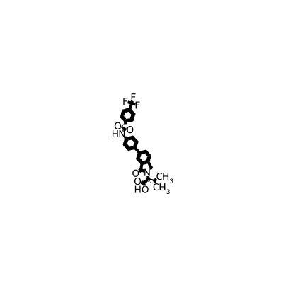 CC(C)[C@@H](C(=O)O)N1Cc2ccc(-c3ccc(NS(=O)(=O)c4ccc(C(F)(F)F)cc4)cc3)cc2C1=O